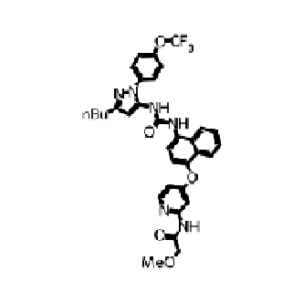 CCCCc1cc(NC(=O)Nc2ccc(Oc3ccnc(NC(=O)COC)c3)c3ccccc23)n(-c2ccc(OC(F)(F)F)cc2)n1